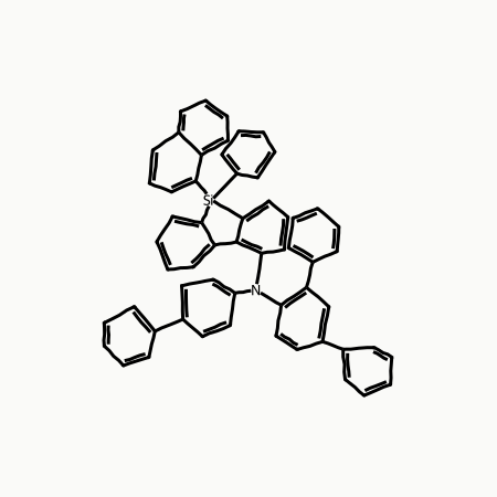 c1ccc(-c2ccc(N(c3ccc(-c4ccccc4)cc3-c3ccccc3)c3cccc4c3-c3ccccc3[Si]4(c3ccccc3)c3cccc4ccccc34)cc2)cc1